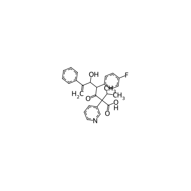 C=C(c1ccccc1)C(O)C(C(=O)C(C(=O)O)(c1cccnc1)C(C)C)c1ccc(F)cc1